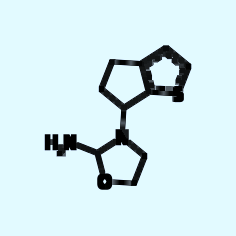 NC1OCCN1C1CCc2ccsc21